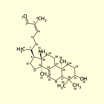 C/C(C=O)=C/CCC(C)[C@@H]1CC[C@]2(C)C3=CCC4C(C)(C)C(O)CC[C@]4(C)C3CC[C@@]12N